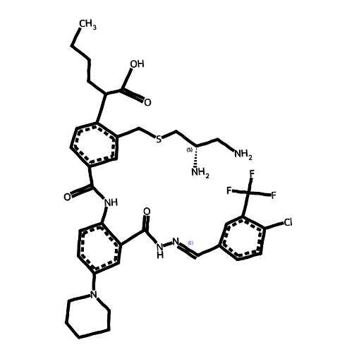 CCCCC(C(=O)O)c1ccc(C(=O)Nc2ccc(N3CCCCC3)cc2C(=O)N/N=C/c2ccc(Cl)c(C(F)(F)F)c2)cc1CSC[C@@H](N)CN